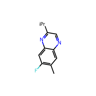 Cc1cc2ncc(C(C)C)nc2cc1F